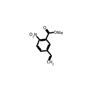 C=Cc1ccc([N+](=O)[O-])c(C(=O)OC)c1